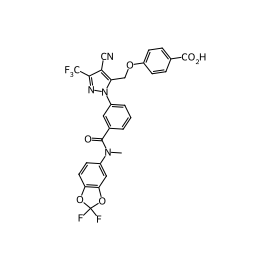 CN(C(=O)c1cccc(-n2nc(C(F)(F)F)c(C#N)c2COc2ccc(C(=O)O)cc2)c1)c1ccc2c(c1)OC(F)(F)O2